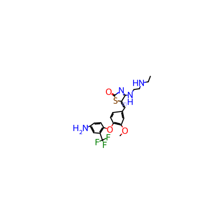 CCNCCNC1=NC(=O)S/C1=C\c1ccc(Oc2ccc(N)cc2C(F)(F)F)c(OC)c1